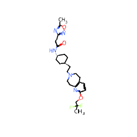 Cc1nc(CC(=O)N[C@H]2CC[C@H](CCN3CCc4ccc(OCC(C)(F)F)nc4CC3)CC2)no1